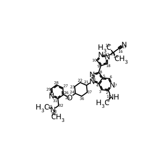 CNc1cc2c(cn1)c(-c1cnn(C(C)(C)C#N)c1)nn2C1CCC(Oc2cccnc2CN(C)C)CC1